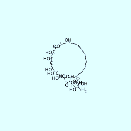 C[C@H]1C[C@H](O)[C@@H](C)/C=C/C=C/C=C/C=C/C=C/C=C/C=C/C(O[C@@H]2OC[C@@H](O)[C@H](N)[C@@H]2O)C[C@@H]2OC(O)(CC(O)CC(O)C(O)CCC(O)CC(O)CC(=O)O1)C[C@H](O)[C@H]2C(=O)O